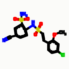 COc1cc(Cl)ccc1/C=C/S(=O)(=O)Nc1ccc(C#N)cc1S(N)(=O)=O